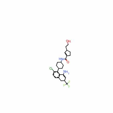 NC1=CC(C(F)(F)F)Cc2ccc(Cl)c(C3CCC(NC(=O)C4=CC(CCO)CC4)CC3)c21